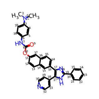 CN(C)c1ccc(NC(=O)Oc2ccc3cc(-c4nc(-c5ccccc5)[nH]c4-c4ccncc4)ccc3c2)cc1